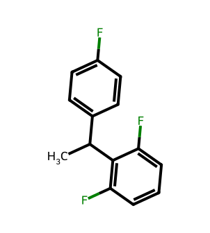 CC(c1ccc(F)cc1)c1c(F)cccc1F